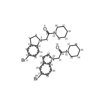 O=C(CN1CCc2cc(Br)ccc21)N1CCCCC1.O=C(Cn1ccc2cc(Br)ccc21)N1CCCCC1